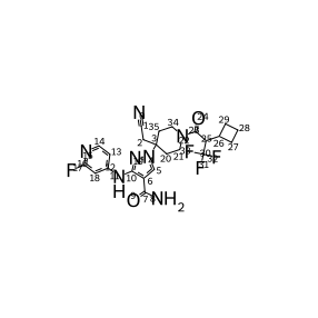 N#CCC1(n2cc(C(N)=O)c(Nc3ccnc(F)c3)n2)CCN(C(=O)C(C2CCC2)C(F)(F)F)CC1